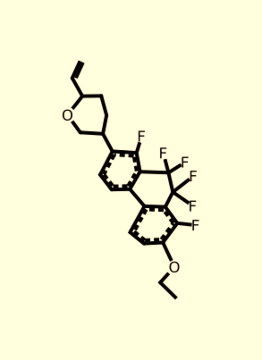 C=CC1CCC(c2ccc3c(c2F)C(F)(F)C(F)(F)c2c-3ccc(OCC)c2F)CO1